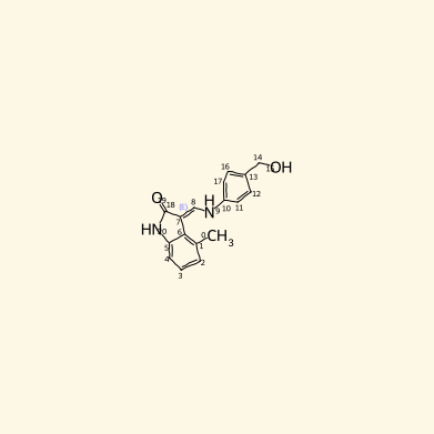 Cc1cccc2c1/C(=C\Nc1ccc(CO)cc1)C(=O)N2